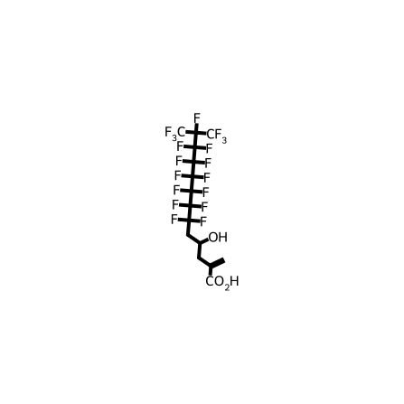 C=C(CC(O)CC(F)(F)C(F)(F)C(F)(F)C(F)(F)C(F)(F)C(F)(F)C(F)(C(F)(F)F)C(F)(F)F)C(=O)O